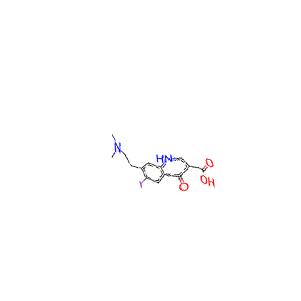 CN(C)CCc1cc2[nH]cc(C(=O)O)c(=O)c2cc1I